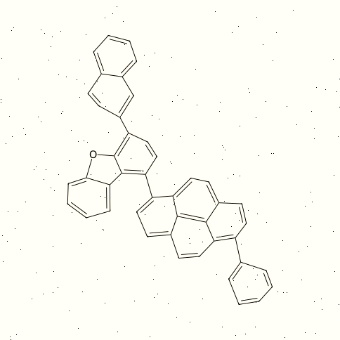 c1ccc(-c2ccc3ccc4c(-c5ccc(-c6ccc7ccccc7c6)c6oc7ccccc7c56)ccc5ccc2c3c54)cc1